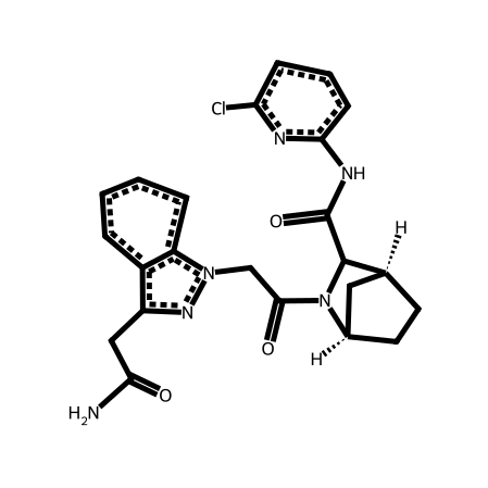 NC(=O)Cc1nn(CC(=O)N2C(C(=O)Nc3cccc(Cl)n3)[C@H]3CC[C@@H]2C3)c2ccccc12